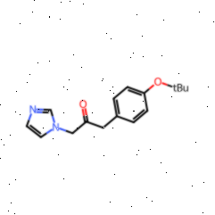 CC(C)(C)Oc1ccc(CC(=O)Cn2ccnc2)cc1